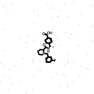 C[C@H](NC(=O)C1CCCCN1Cc1cccc(F)c1)c1ccc(C(=O)O)cc1